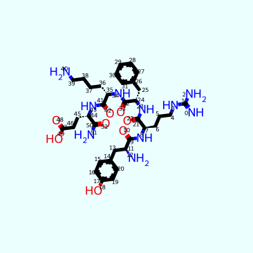 N=C(N)NCCC[C@@H](NC(=O)[C@@H](N)Cc1ccc(O)cc1)C(=O)N[C@@H](Cc1ccccc1)C(=O)N[C@@H](CCCCN)C(=O)N[C@@H](CCC(=O)O)C(N)=O